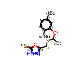 CCC(Oc1cc(C(C)(C)C)ccc1C(C)(C)C)SCc1n[nH]c(=S)o1